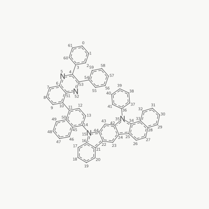 c1ccc(-c2nc3cccc(-c4ccc(-n5c6ccccc6c6cc7c8ccc9ccccc9c8n(-c8ccccc8)c7cc65)c5ccccc45)c3nc2-c2ccccc2)cc1